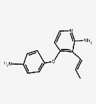 C/C=C/c1c(Oc2ccc(N)cc2)ccnc1N